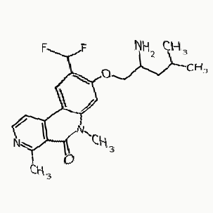 Cc1nccc2c1c(=O)n(C)c1cc(OCC(N)CC(C)C)c(C(F)F)cc21